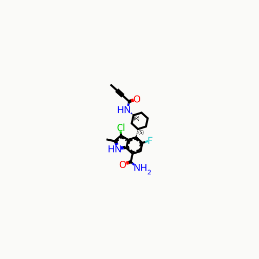 CC#CC(=O)N[C@@H]1CCC[C@H](c2c(F)cc(C(N)=O)c3[nH]c(C)c(Cl)c23)C1